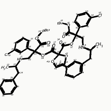 Cc1cccc(CC(C)NCC(OC(=O)C2(C(=O)OC(CNC(C)Cc3ccccc3)(C(=O)OC(C)(C)C)c3cccc(Cl)c3)OC=CO2)(C(=O)OC(C)(C)C)c2cccc(Cl)c2)c1